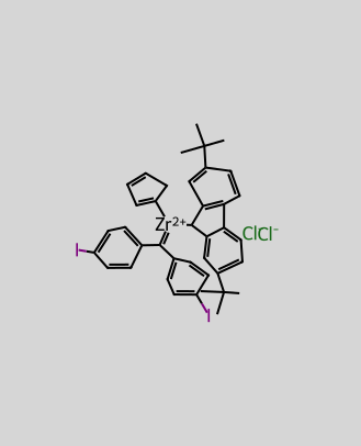 CC(C)(C)c1ccc2c(c1)[CH]([Zr+2]([C]1=CC=CC1)=[C](c1ccc(I)cc1)c1ccc(I)cc1)c1cc(C(C)(C)C)ccc1-2.[Cl-].[Cl-]